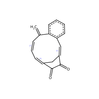 C=C1/C=C\C=C2/C/C(=C\c3ccccc31)C(=O)C2=O